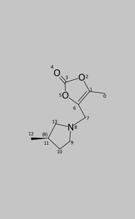 Cc1oc(=O)oc1CN1CC[C@@H](C)C1